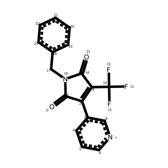 O=C1C(c2cccnc2)=C(C(F)(F)F)C(=O)N1Cc1ccccc1